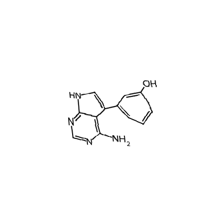 Nc1ncnc2[nH]cc(-c3cccc(O)c3)c12